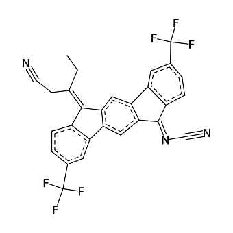 CC/C(CC#N)=C1/c2ccc(C(F)(F)F)cc2-c2cc3c(cc21)-c1cc(C(F)(F)F)ccc1/C3=N\C#N